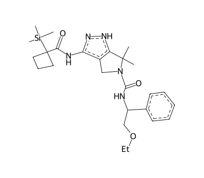 CCOCC(NC(=O)N1Cc2c(NC(=O)C3([Si](C)(C)C)CCC3)n[nH]c2C1(C)C)c1ccccc1